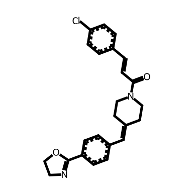 O=C(C=Cc1ccc(Cl)cc1)N1CCC(=Cc2ccc(C3=NCCO3)cc2)CC1